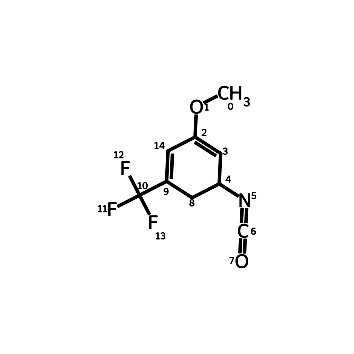 COC1=CC(N=C=O)CC(C(F)(F)F)=C1